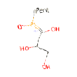 CCCCC/[P+]([O-])=C(\O)C(O)CO